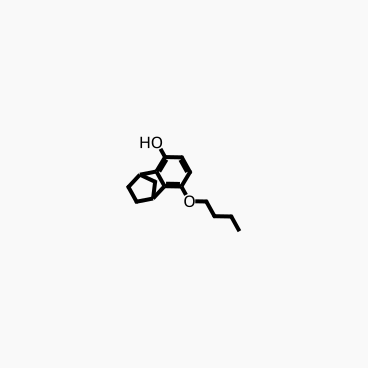 CCCCOc1ccc(O)c2c1C1CCC2C1